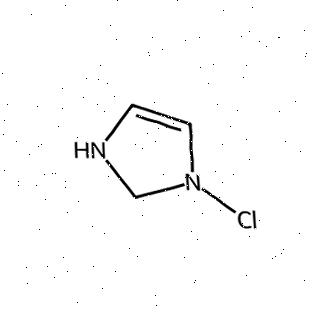 ClN1C=CNC1